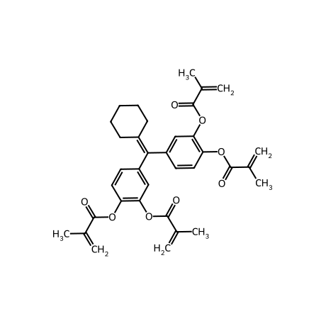 C=C(C)C(=O)Oc1ccc(C(=C2CCCCC2)c2ccc(OC(=O)C(=C)C)c(OC(=O)C(=C)C)c2)cc1OC(=O)C(=C)C